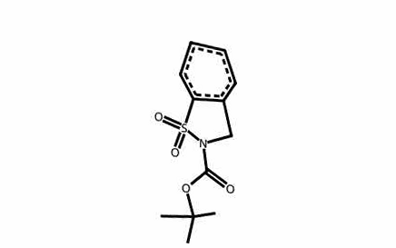 CC(C)(C)OC(=O)N1Cc2ccccc2S1(=O)=O